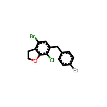 CCc1ccc(Cc2cc(Br)c3c(c2Cl)OCC3)cc1